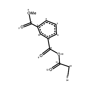 COC(=O)c1cccc(C(=O)OC(=O)CF)c1